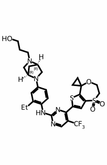 CCc1cc(N2C[C@H]3C[C@@H]2CN3CCCO)ccc1Nc1ncc(C(F)(F)F)c(-c2cc3c(s2)C2(CC2)OCCS3(=O)=O)n1